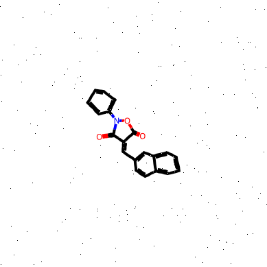 O=C1ON(c2ccccc2)C(=O)C1=Cc1ccc2ccccc2c1